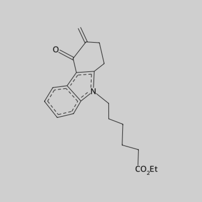 C=C1CCc2c(c3ccccc3n2CCCCCC(=O)OCC)C1=O